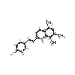 Cc1cc(C)c2ccc(/C=C/c3ccc(F)nc3)nc2c1O